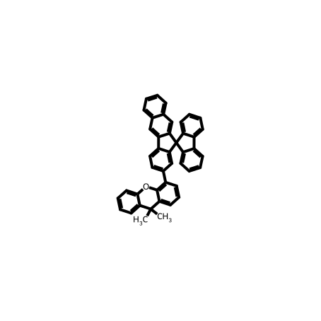 CC1(C)c2ccccc2Oc2c(-c3ccc4c(c3)C3(c5ccccc5-c5ccccc53)c3cc5ccccc5cc3-4)cccc21